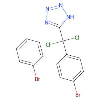 Brc1ccccc1.ClC(Cl)(c1ccc(Br)cc1)c1nnn[nH]1